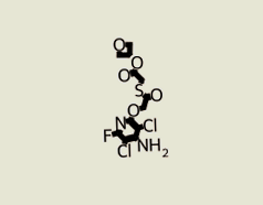 Nc1c(Cl)c(F)nc(OCC(=O)SCC(=O)OC2COC2)c1Cl